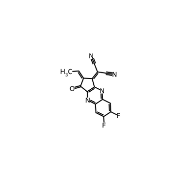 C/C=C1\C(=O)c2nc3cc(F)c(F)cc3nc2C1=C(C#N)C#N